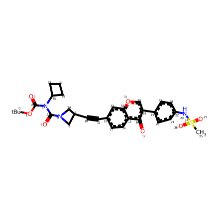 CC(C)(C)OC(=O)N(C(=O)N1CC(C#Cc2ccc3c(=O)c(-c4ccc(NS(C)(=O)=O)cc4)coc3c2)C1)C1CCC1